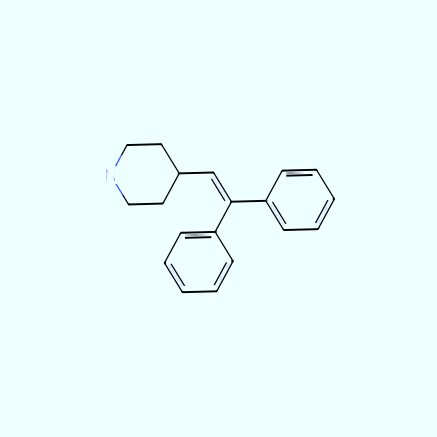 C(=C(c1ccccc1)c1ccccc1)C1CC[N]CC1